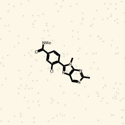 CNC(=O)c1ccc(-c2nc3cnc(C)nc3n2C)c(Cl)c1